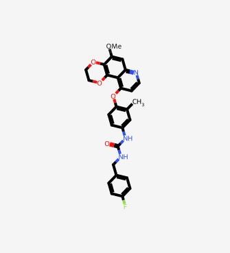 COc1cc2nccc(Oc3ccc(NC(=O)NCc4ccc(F)cc4)cc3C)c2c2c1OCCO2